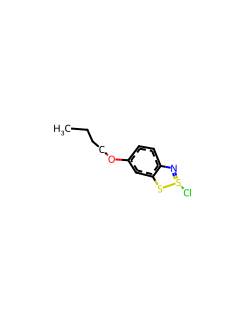 CCCCOc1ccc2c(c1)SS(Cl)=N2